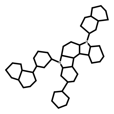 C1CCC(C2CCC3C4C5C6CCCCC6N(C6CCC7CCCCC7C6)C5CCC4N(C4CCCC(C5CCCC6CCCCC65)C4)C3C2)CC1